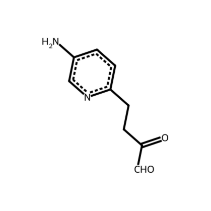 Nc1ccc(CCC(=O)C=O)nc1